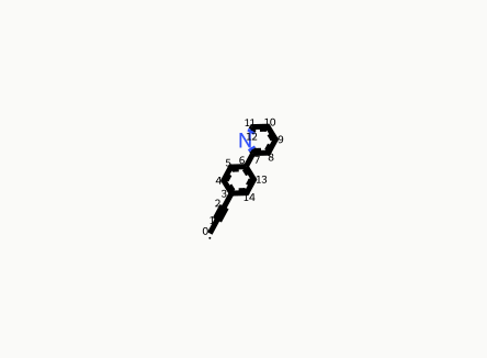 [CH2]C#Cc1ccc(-c2ccccn2)cc1